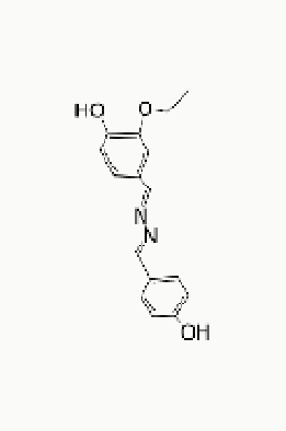 CCOc1cc(/C=N/N=C/c2ccc(O)cc2)ccc1O